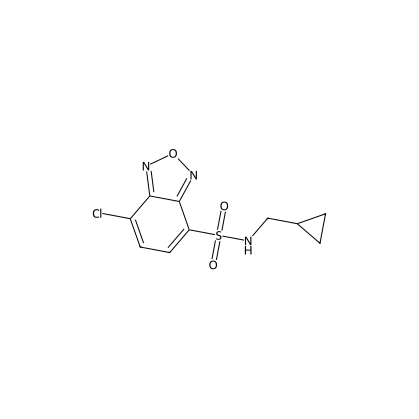 O=S(=O)(NCC1CC1)c1ccc(Cl)c2nonc12